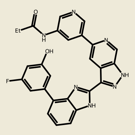 CCC(=O)Nc1cncc(-c2cc3c(-c4nc5c(-c6cc(O)cc(F)c6)cccc5[nH]4)n[nH]c3cn2)c1